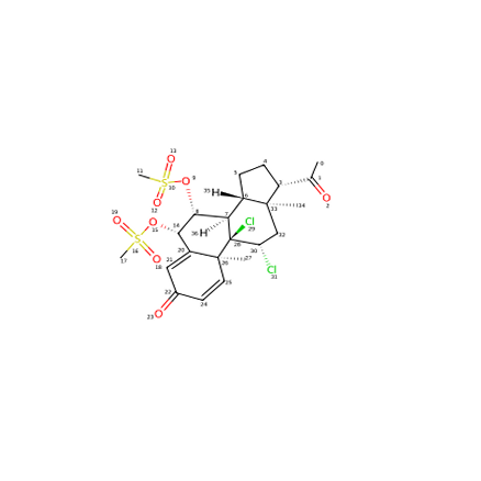 CC(=O)[C@H]1CC[C@H]2[C@@H]3[C@@H](OS(C)(=O)=O)[C@@H](OS(C)(=O)=O)C4=CC(=O)C=C[C@]4(C)[C@@]3(Cl)[C@@H](Cl)C[C@]12C